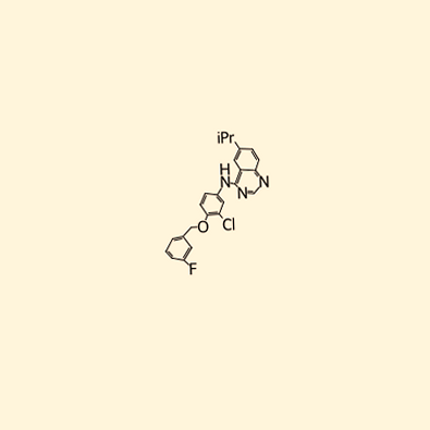 CC(C)c1ccc2ncnc(Nc3ccc(OCc4cccc(F)c4)c(Cl)c3)c2c1